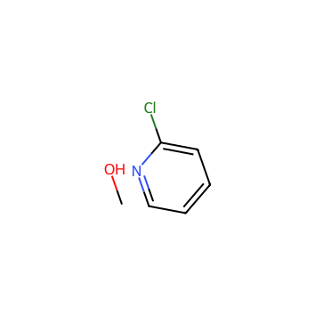 CO.Clc1ccccn1